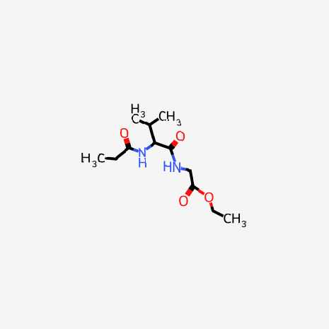 CCOC(=O)CNC(=O)C(NC(=O)CC)C(C)C